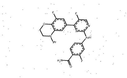 CC(C)N1CCOc2c(F)cc(-c3nc([AsH]c4ccc(C(N)=O)c(F)c4)ncc3F)cc21